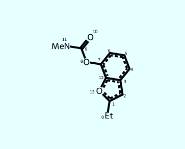 CCc1cc2cccc(OC(=O)NC)c2o1